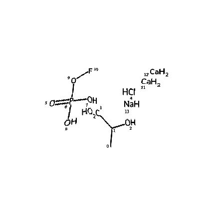 CC(O)C(=O)O.Cl.O=P(O)(O)OF.[CaH2].[CaH2].[NaH]